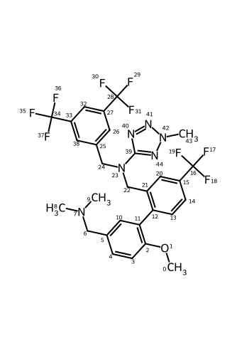 COc1ccc(CN(C)C)cc1-c1ccc(C(F)(F)F)cc1CN(Cc1cc(C(F)(F)F)cc(C(F)(F)F)c1)c1nnn(C)n1